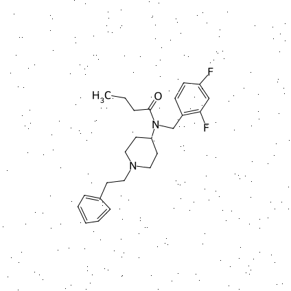 CCCC(=O)N(Cc1ccc(F)cc1F)C1CCN(CCc2ccccc2)CC1